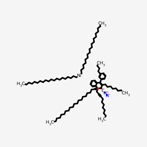 CCCCCCCCC#CCCc1ccccc1C(=C(CCCCCCCC)C(=C=[N+]=[N-])C#CCCCCCCCCCCCCCCCCCCC)c1cccc(CCCC)c1.CCCCCCCCCCCCCCCCCCC[CH2][Ni][CH2]CCCCCCCCCCCCCCCCCCC